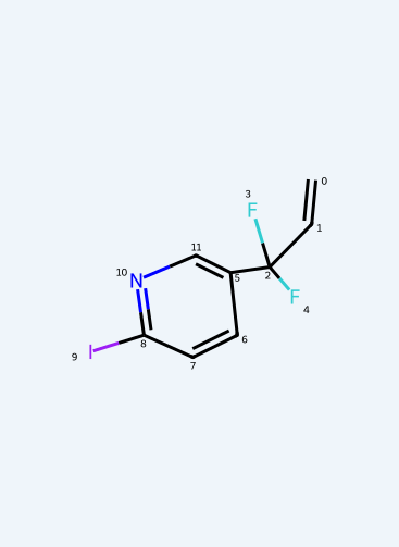 C=CC(F)(F)c1ccc(I)nc1